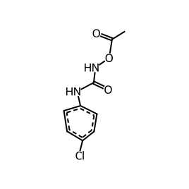 CC(=O)ONC(=O)Nc1ccc(Cl)cc1